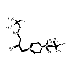 CC(C[SiH2]OC(C)(C)C)CN1CCN([Si](C)(C)C(C)(C)C)CC1